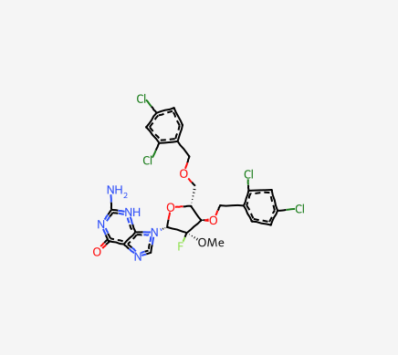 CO[C@@]1(F)[C@H](OCc2ccc(Cl)cc2Cl)[C@@H](COCc2ccc(Cl)cc2Cl)O[C@H]1n1cnc2c(=O)nc(N)[nH]c21